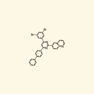 Brc1cc(Br)cc(-c2cc(-c3ccc(-c4ccccc4)cc3)nc(-c3ccc4ncccc4c3)n2)c1